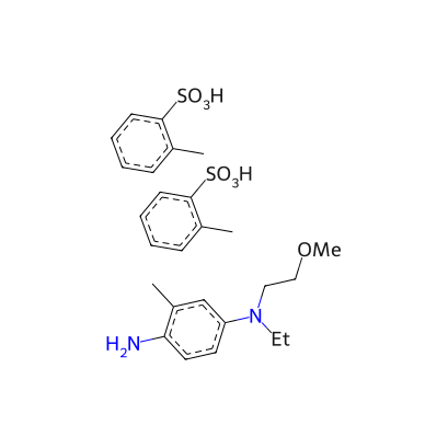 CCN(CCOC)c1ccc(N)c(C)c1.Cc1ccccc1S(=O)(=O)O.Cc1ccccc1S(=O)(=O)O